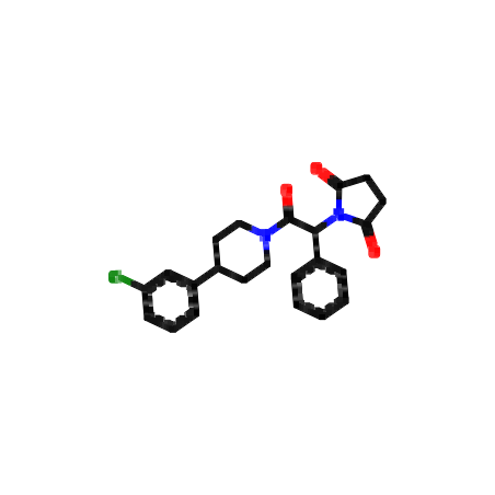 O=C(C(c1ccccc1)N1C(=O)CCC1=O)N1CCC(c2cccc(Cl)c2)CC1